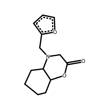 O=C1CN(Cc2ccco2)C2CCCCC2O1